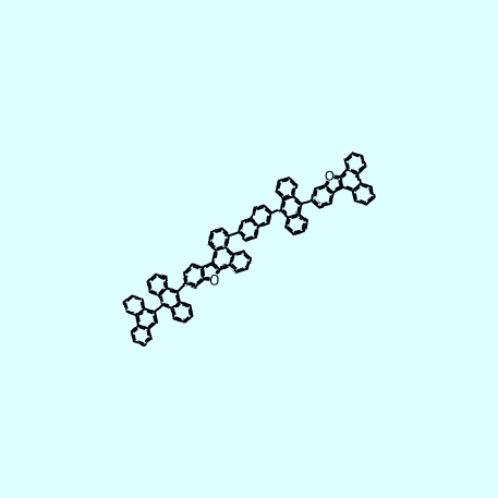 c1ccc2c(c1)cc(-c1c3ccccc3c(-c3ccc4c(c3)oc3c5ccccc5c5c(-c6ccc7cc(-c8c9ccccc9c(-c9ccc%10c(c9)oc9c%11ccccc%11c%11ccccc%11c%109)c9ccccc89)ccc7c6)cccc5c43)c3ccccc13)c1ccccc12